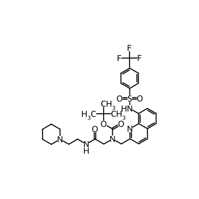 CC(C)(C)OC(=O)N(CC(=O)NCCN1CCCCC1)Cc1ccc2cccc(NS(=O)(=O)c3ccc(C(F)(F)F)cc3)c2n1